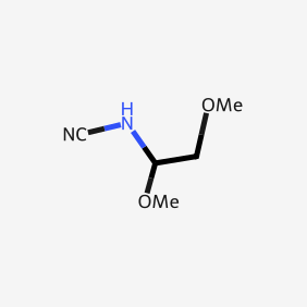 COCC(NC#N)OC